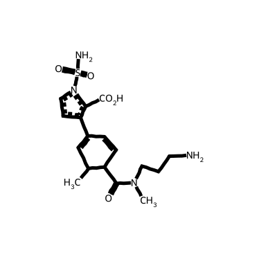 CC1C=C(c2ccn(S(N)(=O)=O)c2C(=O)O)C=CC1C(=O)N(C)CCCN